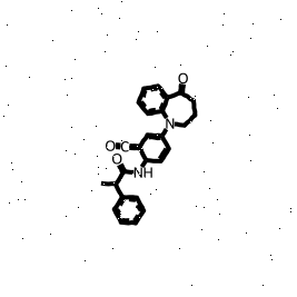 CC(C(=O)NC1C=CC(N2CCCC(=O)c3ccccc32)=CC1=C=O)c1ccccc1